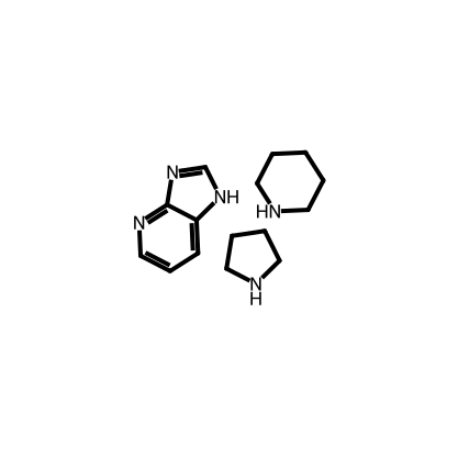 C1CCNC1.C1CCNCC1.c1cnc2nc[nH]c2c1